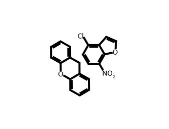 O=[N+]([O-])c1ccc(Cl)c2ccoc12.c1ccc2c(c1)Cc1ccccc1O2